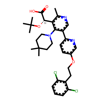 Cc1ncc(-c2ccc(OCCc3c(Cl)cccc3Cl)cn2)c(N2CCC(C)(C)CC2)c1[C@H](OC(C)(C)C)C(=O)O